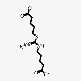 O=C([O-])CCCCNC(=S)SCCCCC(=O)[O-].[K+].[K+]